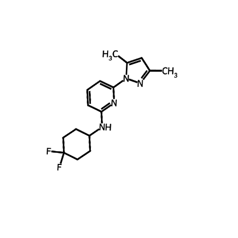 Cc1cc(C)n(-c2cccc(NC3CCC(F)(F)CC3)n2)n1